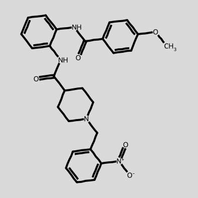 COc1ccc(C(=O)Nc2ccccc2NC(=O)C2CCN(Cc3ccccc3[N+](=O)[O-])CC2)cc1